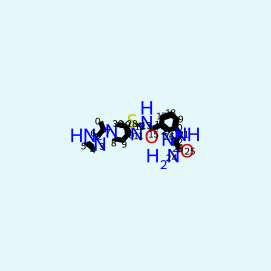 CC(c1ncc[nH]1)N1CCc2nc(NC(=O)c3cccc4[nH]c(C(N)=O)nc34)sc2C1